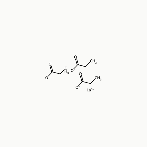 CCC(=O)[O-].CCC(=O)[O-].CCC(=O)[O-].[La+3]